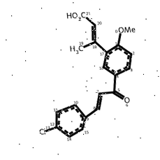 COc1ccc(C(=O)C=Cc2ccc(Cl)cc2)cc1C(C)=CC(=O)O